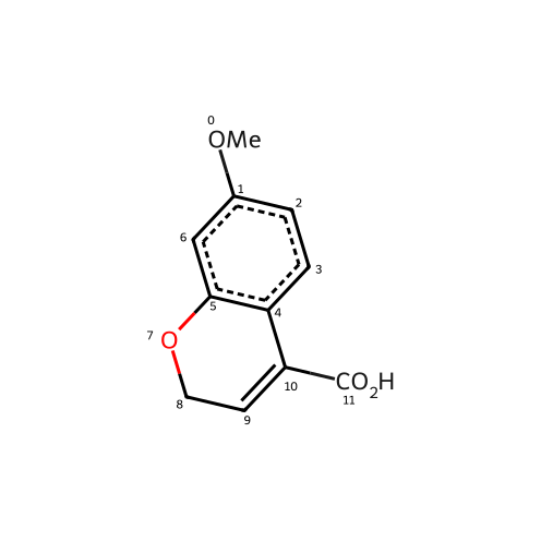 COc1ccc2c(c1)OCC=C2C(=O)O